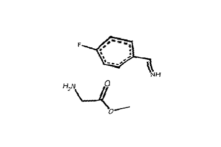 COC(=O)CN.N=Cc1ccc(F)cc1